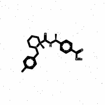 COC(=O)c1ccc([C@H](C)NC(=O)[C@@]2(C)CCCCN2Cc2ccc(C)cc2)cc1